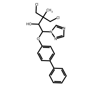 CC(CCl)(CCl)C(O)C(Oc1ccc(-c2ccccc2)cc1)n1cncn1